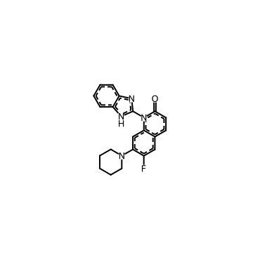 O=c1ccc2cc(F)c(N3CCCCC3)cc2n1-c1nc2ccccc2[nH]1